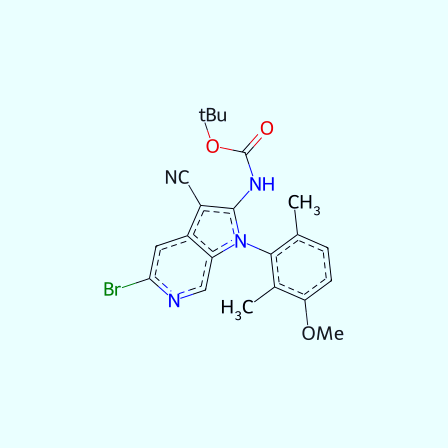 COc1ccc(C)c(-n2c(NC(=O)OC(C)(C)C)c(C#N)c3cc(Br)ncc32)c1C